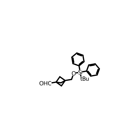 CC(C)(C)[Si](OCC12CC(C=O)(C1)C2)(c1ccccc1)c1ccccc1